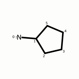 [N]C1CCCC1